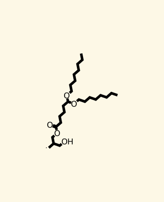 [CH2]C(CO)COC(=O)CCCCC(OCCCCCCCC)OCCCCCCCC